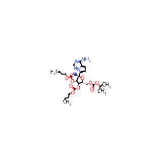 C=CCCOC(=O)O[C@H]1[C@@H](OC(=O)OCCC=C)[C@](C#N)(c2ccc3c(N)ncnn23)O[C@@H]1COC(=O)OC(C)C